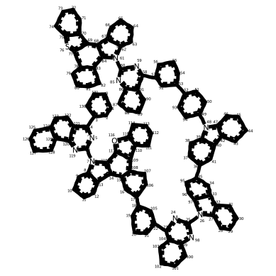 c1ccc(-c2nc(-n3c4ccccc4c4c5cc(-c6cccc(-c7nc(-n8c9ccccc9c9cc(-c%10ccc%11c(c%10)c%10ccccc%10n%11-c%10ccc(-c%11cccc(-c%12nc(-n%13c%14ccccc%14c%14c%15c%16ccccc%16sc%15c%15ccccc%15c%14%13)nc%13ccccc%12%13)c%11)cc%10)ccc98)nc8ccccc78)c6)ccc5c5c6ccccc6oc5c43)nc3c2ccc2ccccc23)cc1